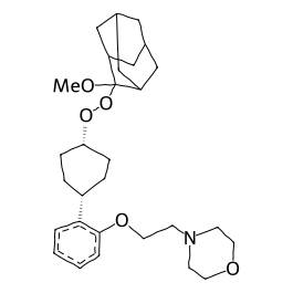 COC1(OO[C@H]2CC[C@@H](c3ccccc3OCCN3CCOCC3)CC2)C2CC3CC(C2)CC1C3